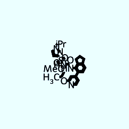 COCC(C)Oc1cc(-c2ccc3c(c2NC(=O)NS(=O)(=O)c2ccn(C(C)C)n2)CCC3)ccn1